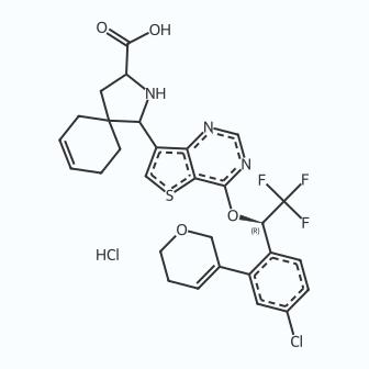 Cl.O=C(O)C1CC2(CC=CCC2)C(c2csc3c(O[C@H](c4ccc(Cl)cc4C4=CCCOC4)C(F)(F)F)ncnc23)N1